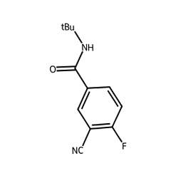 CC(C)(C)NC(=O)c1ccc(F)c(C#N)c1